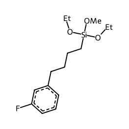 CCO[Si](CCCCc1cccc(F)c1)(OC)OCC